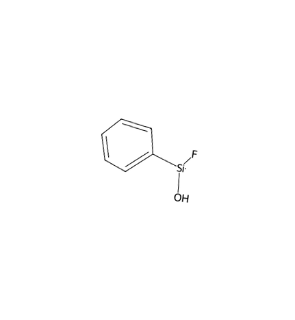 O[Si](F)c1ccccc1